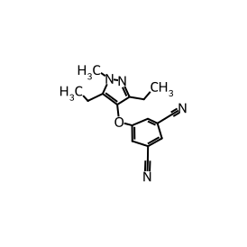 CCc1nn(C)c(CC)c1Oc1cc(C#N)cc(C#N)c1